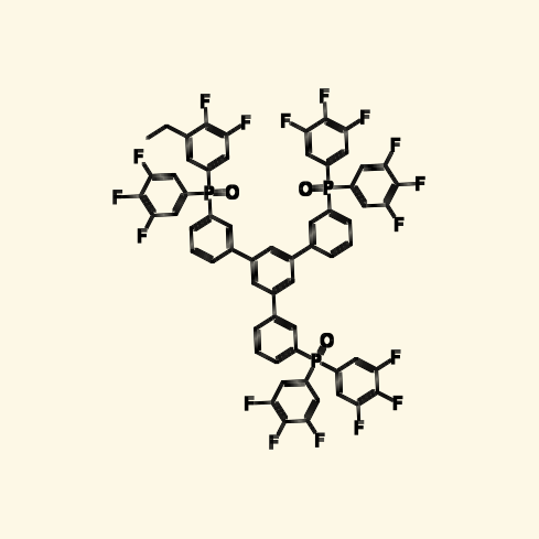 CCc1cc(P(=O)(c2cccc(-c3cc(-c4cccc(P(=O)(c5cc(F)c(F)c(F)c5)c5cc(F)c(F)c(F)c5)c4)cc(-c4cccc(P(=O)(c5cc(F)c(F)c(F)c5)c5cc(F)c(F)c(F)c5)c4)c3)c2)c2cc(F)c(F)c(F)c2)cc(F)c1F